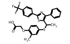 Cc1cc(SC(C)c2sc(-c3ccc(C(F)(F)F)cc3)nc2-c2ccccc2)ccc1OCC(=O)O